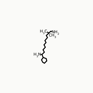 CC(C)(CN)CCCCCCCCC(N)C1CCCCC1